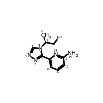 C[C@@H](CF)n1cnnc1-c1cccc(N)n1